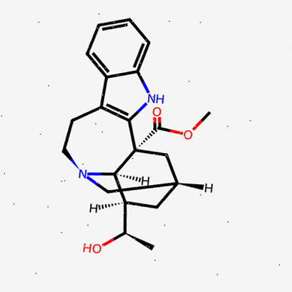 COC(=O)[C@]12C[C@@H]3C[C@@H]([C@@H](C)O)[C@H]1[N@](CCc1c2[nH]c2ccccc12)C3